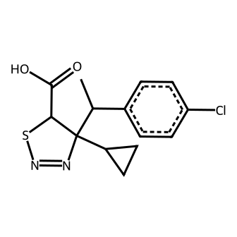 CC(c1ccc(Cl)cc1)C1(C2CC2)N=NSC1C(=O)O